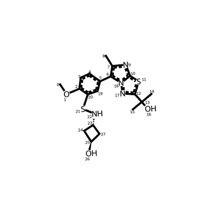 COc1ccc(-c2c(C)nc3sc(C(C)(C)O)nn23)cc1SN[C@H]1C[C@H](O)C1